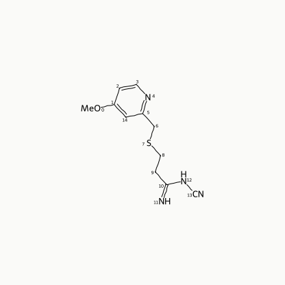 COc1ccnc(CSCCC(=N)NC#N)c1